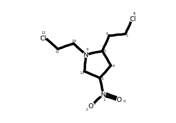 O=[N+]([O-])C1CC(CCCl)N(CCCl)C1